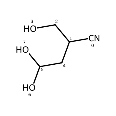 N#CC(CO)CC(O)O